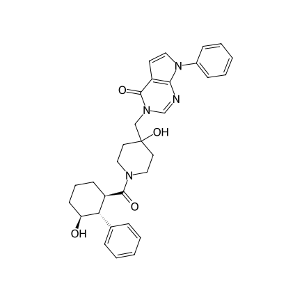 O=C([C@@H]1CCC[C@H](O)[C@H]1c1ccccc1)N1CCC(O)(Cn2cnc3c(ccn3-c3ccccc3)c2=O)CC1